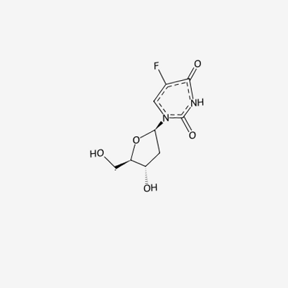 O=c1[nH]c(=O)n([C@H]2C[C@H](O)[C@@H]([CH]O)O2)cc1F